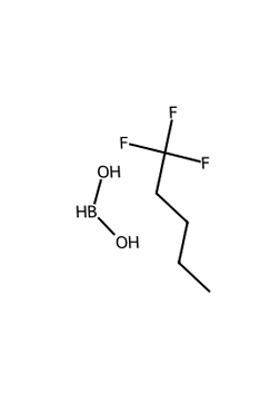 CCCCC(F)(F)F.OBO